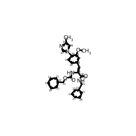 COc1cc(/C=C(\NC(=O)OCc2ccccc2)C(=O)NCc2ccccc2)ccc1-n1cnc(C)c1